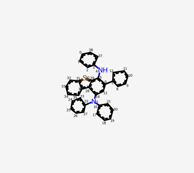 c1ccc(Nc2c(-c3ccccc3)cc(N(c3ccccc3)c3ccccc3)c3c2sc2ccccc23)cc1